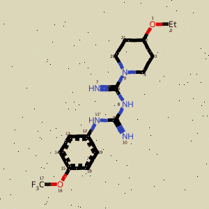 CCOC1CCN(C(=N)NC(=N)Nc2ccc(OC(F)(F)F)cc2)CC1